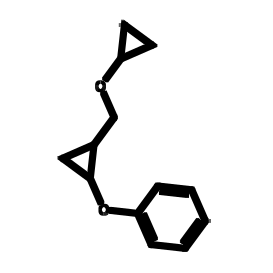 [c]1ccc(OC2CC2COC2[CH]C2)cc1